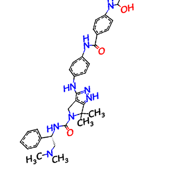 C=CC(O)Nc1ccc(C(=O)Nc2ccc(Nc3n[nH]c4c3CN(C(=O)N[C@H](CN(C)C)c3ccccc3)C4(C)C)cc2)cc1